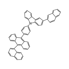 c1ccc2cc(-c3ccc4c(c3)c3ccccc3n4-c3ccc(-c4c5ccccc5c(-c5cccc6ccccc56)c5ccccc45)cc3)ccc2c1